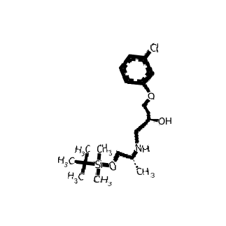 C[C@H](CO[Si](C)(C)C(C)(C)C)NC[C@H](O)COc1cccc(Cl)c1